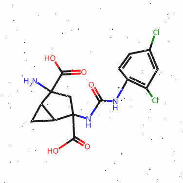 NC1(C(=O)O)CC(NC(=O)Nc2ccc(Cl)cc2Cl)(C(=O)O)C2CC21